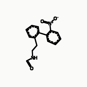 O=CNCCc1ccccc1-c1ccccc1[N+](=O)[O-]